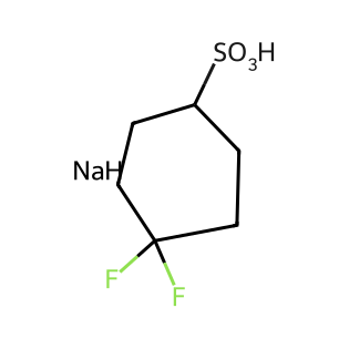 O=S(=O)(O)C1CCC(F)(F)CC1.[NaH]